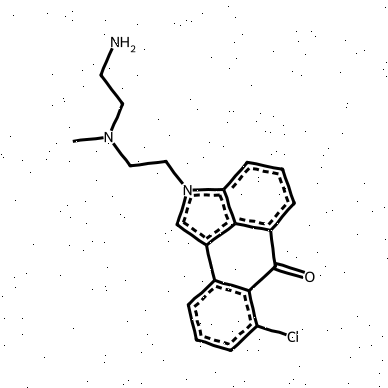 CN(CCN)CCn1cc2c3c(cccc31)C(=O)c1c(Cl)cccc1-2